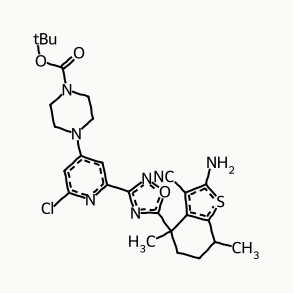 CC1CCC(C)(c2nc(-c3cc(N4CCN(C(=O)OC(C)(C)C)CC4)cc(Cl)n3)no2)c2c1sc(N)c2C#N